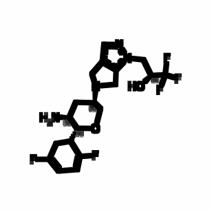 N[C@H]1C[C@@H](N2Cc3cnn(C[C@H](O)C(F)(F)F)c3C2)CO[C@@H]1C1CC(F)=CC=C1F